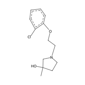 CC1(O)CCN(CCOc2ccccc2Cl)C1